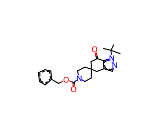 CC(C)(C)n1ncc2c1C(=O)CC1(CCN(C(=O)OCc3ccccc3)CC1)C2